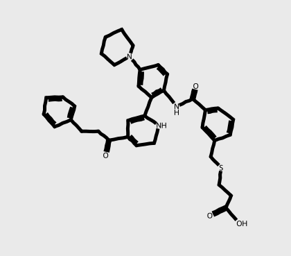 O=C(O)CCSCc1cccc(C(=O)Nc2ccc(N3CCCCC3)cc2C2=CC(C(=O)CCc3ccccc3)=CCN2)c1